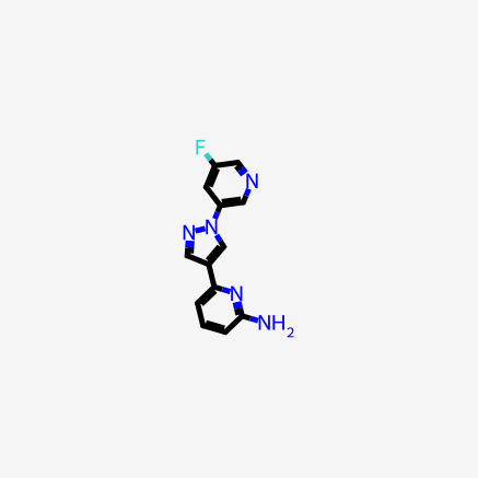 Nc1cccc(-c2cnn(-c3cncc(F)c3)c2)n1